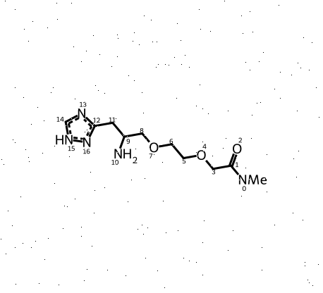 CNC(=O)COCCOCC(N)Cc1nc[nH]n1